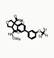 [2H]C([2H])([2H])Oc1cccc(-c2cc(F)c(C3(C(N)=O)COCC3C(=O)NOC)c(F)c2)c1